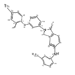 Cc1cc(Nc2ccc3c(c2)CN(c2cccc(Oc4ccc(F)cc4F)c2)C3=O)ccn1